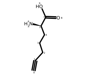 C#CCCC[C@@H](N)C(=O)O